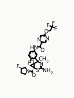 C[C@]1(c2cc(NC(=O)c3cnc(OCC(F)(F)F)cn3)ccc2F)N=C(N)S[C@@]2(C(=O)N3CC[C@@H](F)C3)C[C@H]21